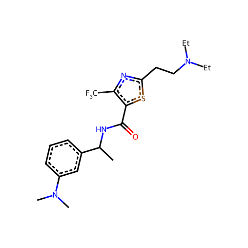 CCN(CC)CCc1nc(C(F)(F)F)c(C(=O)NC(C)c2cccc(N(C)C)c2)s1